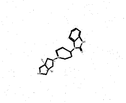 O=c1[nH]c2ccccc2n1C1CCN([C@H]2C[C@H]3CNC[C@H]3C2)CC1